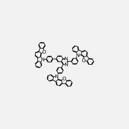 c1cc(-c2nc(-c3ccc(-n4c5ccccc5c5ccc6c7ccccc7oc6c54)cc3)c3cc(-c4ccc(-n5c6ccccc6c6ccc7c8ccccc8oc7c65)cc4)ccc3n2)cc(-n2c3ccccc3c3ccc4c5ccccc5oc4c32)c1